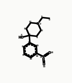 CCN1CCC(O)(c2cccc([SH](=O)=O)c2)CC1